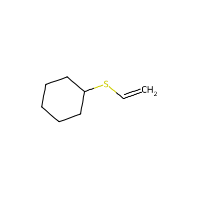 C=CSC1CCCCC1